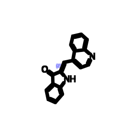 O=C1/C(=C/c2ccnc3ccccc23)Nc2ccccc21